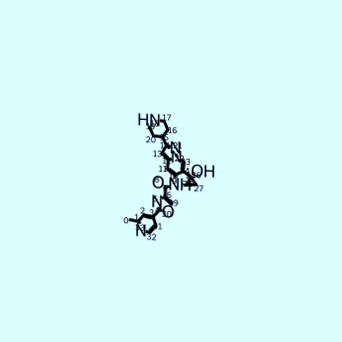 Cc1cc(-c2nc(C(=O)Nc3cc4cc(C5CCNCC5)nn4cc3C3(O)CC3)co2)ccn1